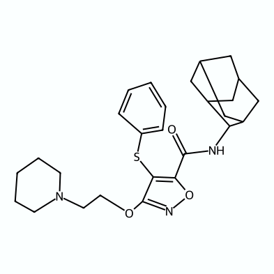 O=C(NC1C2CC3CC(C2)CC1C3)c1onc(OCCN2CCCCC2)c1Sc1ccccc1